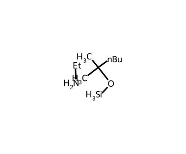 CCCCC(C)(C)O[SiH3].CCN